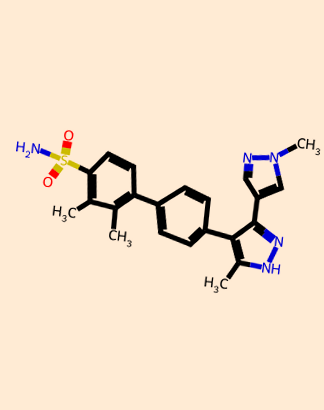 Cc1[nH]nc(-c2cnn(C)c2)c1-c1ccc(-c2ccc(S(N)(=O)=O)c(C)c2C)cc1